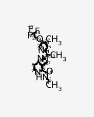 CCNC(=O)c1nccc2nn(C(C)c3cc(C)c(OCC(F)(F)F)cn3)cc12